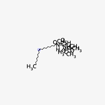 CCCCCCCC/C=C\CCCCCCCC(=O)NC(C)[C@H](CNC(=O)C1OC(C)(C)OCC1(C)C)C(=O)S